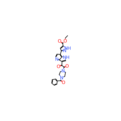 CCOC(=O)c1cc(-c2ccnc3c(C(=O)C(=O)N4CCN(C(=O)c5ccccc5)CC4)c[nH]c23)n[nH]1